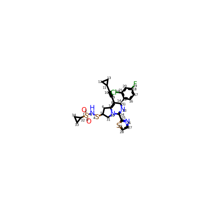 O=S(=O)(NSC1CC2=C(C#CC3CC3)[C@@H](c3ccc(F)cc3Cl)N=C(c3nccs3)N2C1)C1CC1